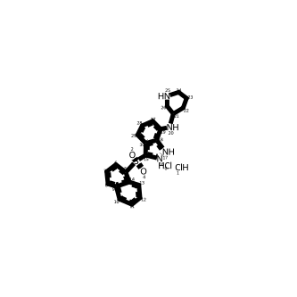 Cl.Cl.O=S(=O)(c1cccc2ccccc12)c1n[nH]c2c(NC3CCCNC3)cccc12